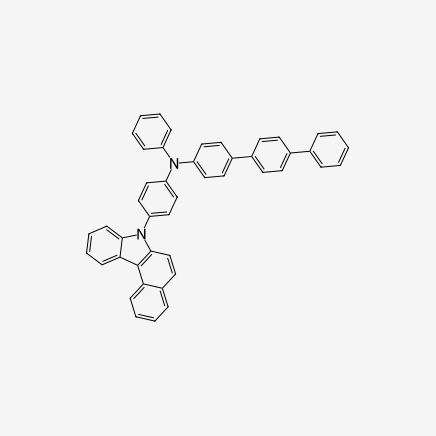 c1ccc(-c2ccc(-c3ccc(N(c4ccccc4)c4ccc(-n5c6ccccc6c6c7ccccc7ccc65)cc4)cc3)cc2)cc1